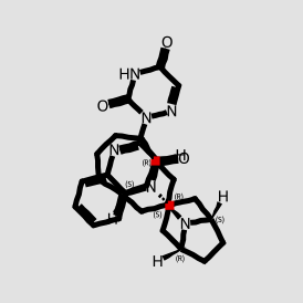 O=c1cnn(-c2nc3ccccc3n([C@H]3C[C@H]4CC[C@@H](C3)N4[C@@H]3C[C@@H]4CCCC[C@@H](C4)C3)c2=O)c(=O)[nH]1